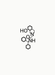 O=C(CN1CCc2cccc(O)c2C1)NC(c1ccccc1)c1ccccc1